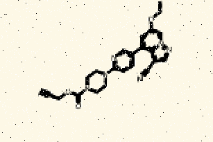 C#CCOC(=O)N1CCN(c2ccc(-c3cc(OCC)cn4ncc(C#N)c34)cn2)CC1